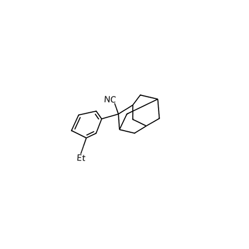 CCc1cccc(C2(C#N)C3CC4CC(C3)CC2C4)c1